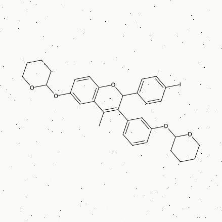 CC1=C(c2cccc(OC3CCCCO3)c2)C(c2ccc(I)cc2)Oc2ccc(OC3CCCCO3)cc21